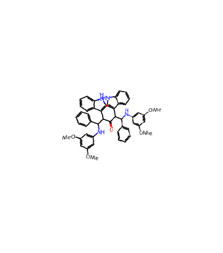 COc1cc(NC(c2ccccc2)C(C(=O)C(c2c[nH]c3ccccc23)C(Nc2cc(OC)cc(OC)c2)c2ccccc2)c2c[nH]c3ccccc23)cc(OC)c1